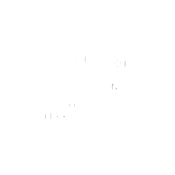 CCCCCCOc1cccc(C)c1-c1ccnc(C)c1